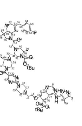 Cc1n[nH]c(Nc2ncnc3cc(OCCN4CCN(c5ncc(C(=O)N6CCN(C[C@H]7CN(C(=O)OC(C)(C)C)[C@H](C)CN7CC(=O)N7CC(C)(C)c8ncc(Cc9ccc(F)cc9)cc87)[C@H](C)C6)cn5)CC4)c(S(=O)(=O)C(C)(C)C)cc23)c1C